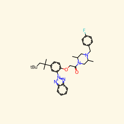 CC1CN(C(=O)COc2ccc(C(C)(C)CC(C)(C)C)cc2-n2nc3ccccc3n2)C(C)CN1Cc1ccc(F)cc1